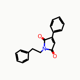 O=C1C=C(c2ccccc2)C(=O)N1CCc1ccccc1